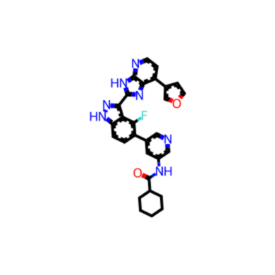 O=C(Nc1cncc(-c2ccc3[nH]nc(-c4nc5c(-c6ccoc6)ccnc5[nH]4)c3c2F)c1)C1CCCCC1